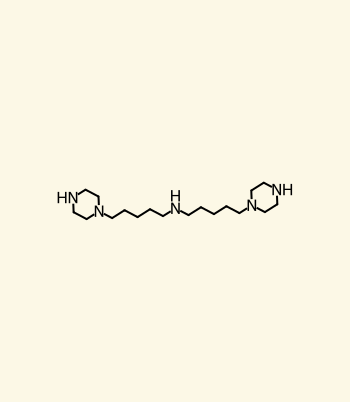 C(CCNCCCCCN1CCNCC1)CCN1CCNCC1